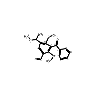 COc1c(C=O)cc(C(C)OC)c(OC)c1C(=O)c1ccccc1